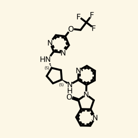 O=C1c2cccnc2CN1c1cccnc1N[C@H]1CC[C@H](Nc2ncc(OCC(F)(F)F)cn2)C1